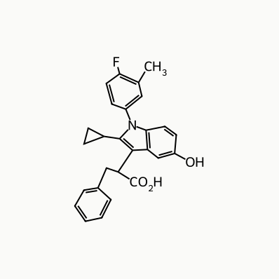 Cc1cc(-n2c(C3CC3)c(C(Cc3ccccc3)C(=O)O)c3cc(O)ccc32)ccc1F